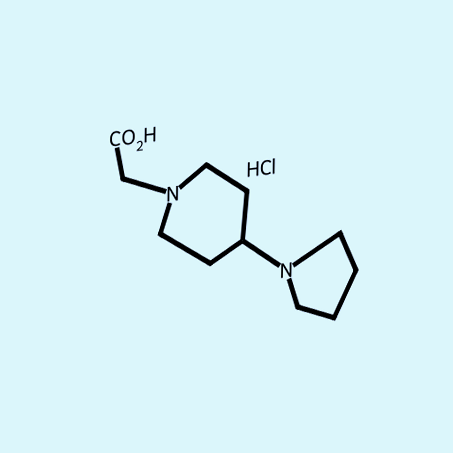 Cl.O=C(O)CN1CCC(N2CCCC2)CC1